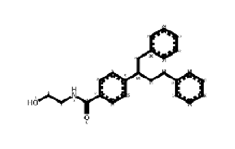 O=C(NCCO)c1ccc(C(CCc2ccccc2)Cc2ccccc2)cc1